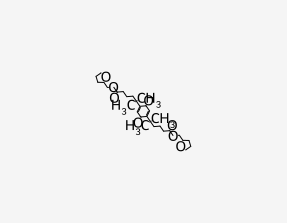 CC(C)(CCCC(=O)OCC1CCCO1)C1=CC(=O)C(C(C)(C)CCCC(=O)OCC2CCCO2)=CC1=O